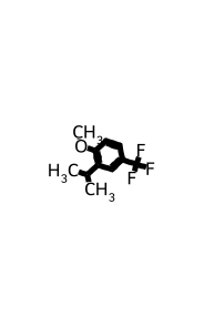 COc1ccc(C(F)(F)F)cc1C(C)C